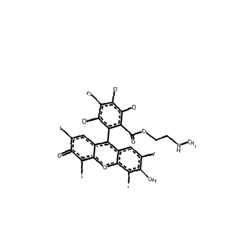 CNCCOC(=O)c1c(Cl)c(Cl)c(Cl)c(Cl)c1-c1c2cc(I)c(=O)c(I)c-2oc2c(I)c(O)c(I)cc12